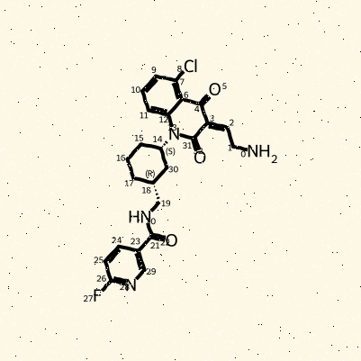 NCC=C1C(=O)c2c(Cl)cccc2N([C@H]2CCC[C@@H](CNC(=O)c3ccc(F)nc3)C2)C1=O